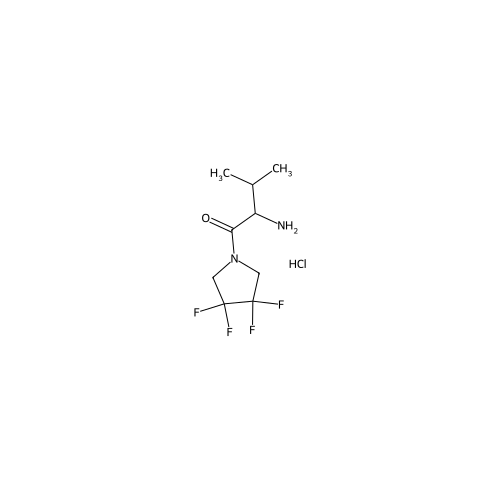 CC(C)C(N)C(=O)N1CC(F)(F)C(F)(F)C1.Cl